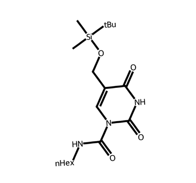 CCCCCCNC(=O)n1cc(CO[Si](C)(C)C(C)(C)C)c(=O)[nH]c1=O